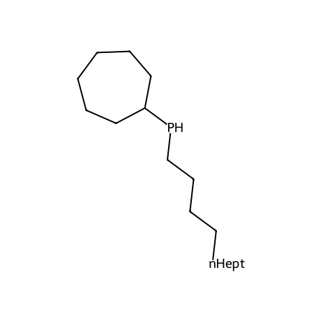 CCCCCCCCCCCPC1CCCCCC1